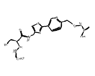 CB(O)NOCc1ccc(-c2nc(NC(=O)[C@H](CC(C)C)NBC=O)cs2)cn1